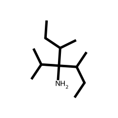 CCC(C)C(N)(C(C)C)C(C)CC